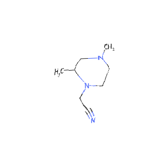 CC1CN(C)CCN1CC#N